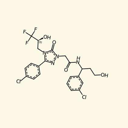 O=C(Cn1nc(-c2ccc(Cl)cc2)n(C[C@H](O)C(F)(F)F)c1=O)NC(CCO)c1cccc(Cl)c1